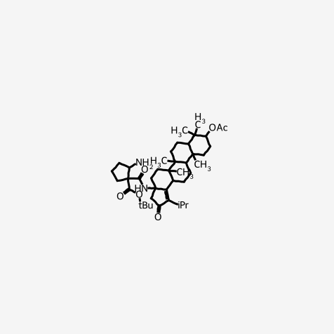 CC(=O)OC1CCC2(C)C(CCC3(C)C2CCC2C4=C(C(C)C)C(=O)CC4(NC(=O)C4(C(=O)OC(C)(C)C)CCCC4N)CCC23C)C1(C)C